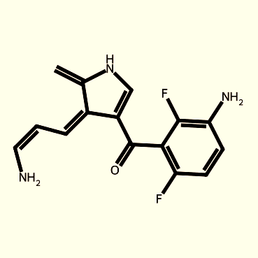 C=c1[nH]cc(C(=O)c2c(F)ccc(N)c2F)/c1=C/C=C\N